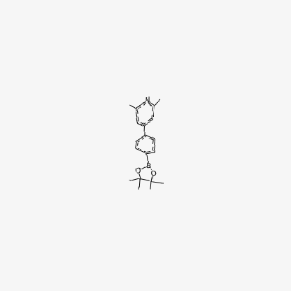 Cc1cc(-c2ccc(B3OC(C)(C)C(C)(C)O3)cc2)cc(C)n1